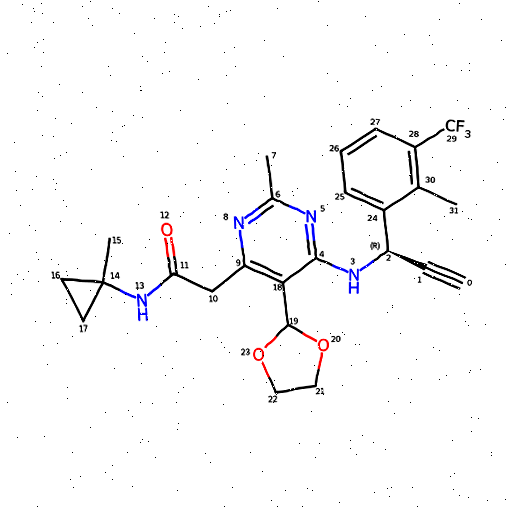 C#C[C@@H](Nc1nc(C)nc(CC(=O)NC2(C)CC2)c1C1OCCO1)c1cccc(C(F)(F)F)c1C